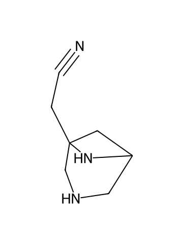 N#CCC12CNCC(C1)N2